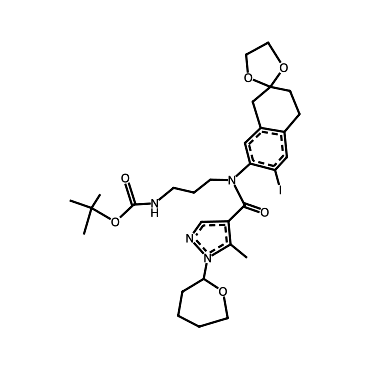 Cc1c(C(=O)N(CCCNC(=O)OC(C)(C)C)c2cc3c(cc2I)CCC2(C3)OCCO2)cnn1C1CCCCO1